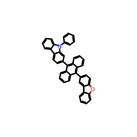 c1ccc(-n2c3ccccc3c3ccc(-c4c5ccccc5c(-c5ccc6oc7ccccc7c6c5)c5ccccc45)cc32)cc1